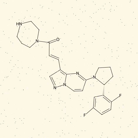 O=C(/C=C/c1cnn2ccc(N3CCC[C@@H]3c3cc(F)ccc3F)nc12)N1CCCNCC1